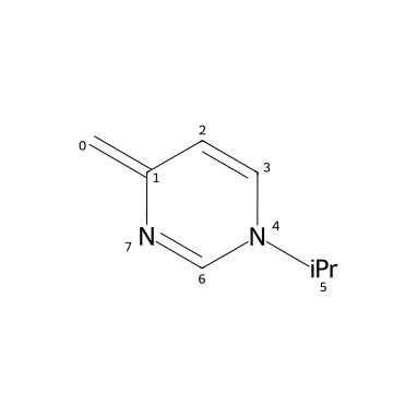 C=C1C=CN(C(C)C)C=N1